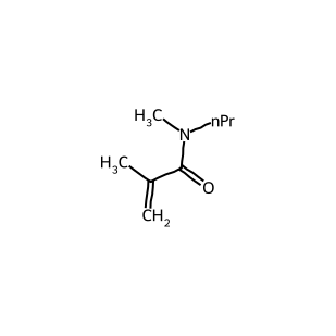 C=C(C)C(=O)N(C)CCC